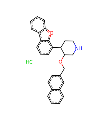 Cl.c1ccc2cc(COC3CNCCC3c3cccc4c3oc3ccccc34)ccc2c1